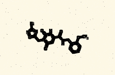 CCc1noc(Cn2c(=O)cc(C(=O)NCc3ccccc3OC(F)(F)F)[nH]c2=O)n1